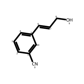 N#Cc1cccc(C=CCO)c1